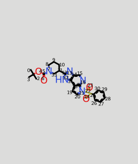 CC(C)(C)OC(=O)N1CCCC(c2nc3cnc4c(ccn4S(=O)(=O)c4ccccc4)c3[nH]2)C1